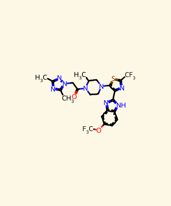 Cc1nc(C)n(CC(=O)N2CCN(c3sc(C(F)(F)F)nc3-c3nc4cc(OC(F)(F)F)ccc4[nH]3)CC2C)n1